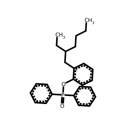 CCCCC(CC)Cc1ccccc1OP(=O)(c1ccccc1)c1ccccc1